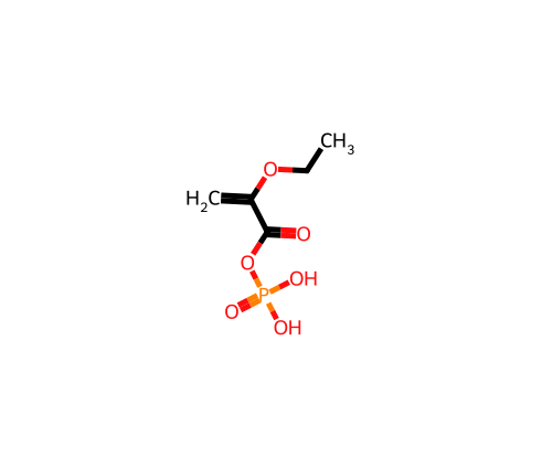 C=C(OCC)C(=O)OP(=O)(O)O